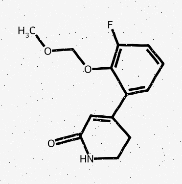 COCOc1c(F)cccc1C1=CC(=O)NCC1